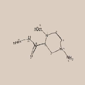 CCCCCCCCN1CCN(N)CC1C(=O)NCCCCCC